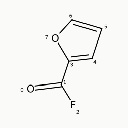 O=C(F)c1ccco1